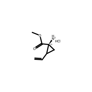 C=CC1C[C@@]1(N)C(=O)OC.Cl